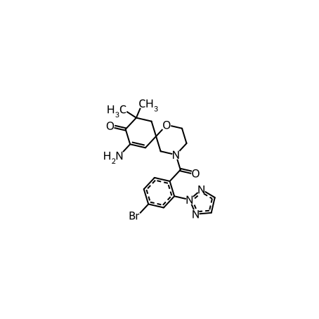 CC1(C)CC2(C=C(N)C1=O)CN(C(=O)c1ccc(Br)cc1-n1nccn1)CCO2